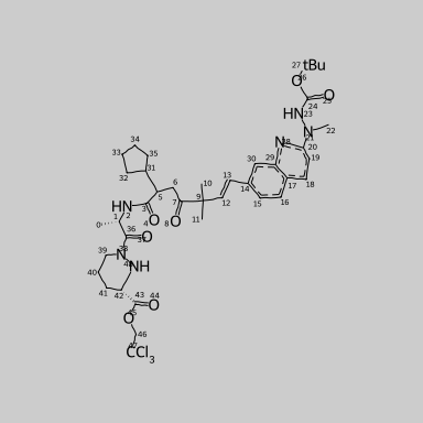 C[C@H](NC(=O)C(CC(=O)C(C)(C)/C=C/c1ccc2ccc(N(C)NC(=O)OC(C)(C)C)nc2c1)C1CCCC1)C(=O)N1CCC[C@@H](C(=O)OCC(Cl)(Cl)Cl)N1